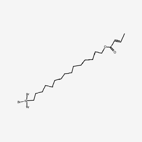 CC=CC(=O)OCCCCCCCCCCCCCCC[Si](Br)(Br)Br